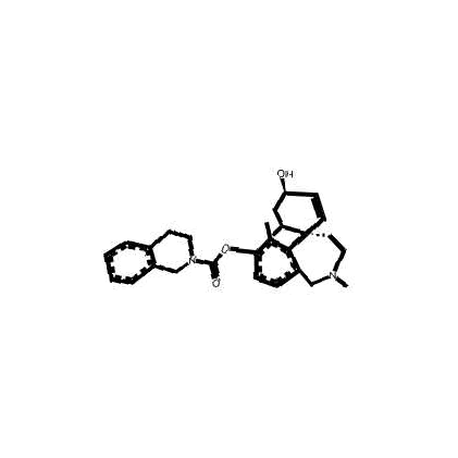 Cc1c(OC(=O)N2CCc3ccccc3C2)ccc2c1[C@@]1(C=C[C@H](O)CC1C)CCN(C)C2